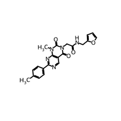 Cc1ccc(-c2ncc3c(=O)n(CC(=O)NCc4ccco4)c(=O)n(C)c3n2)cc1